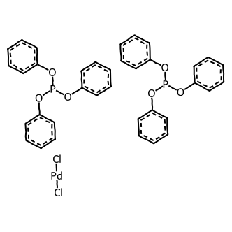 [Cl][Pd][Cl].c1ccc(OP(Oc2ccccc2)Oc2ccccc2)cc1.c1ccc(OP(Oc2ccccc2)Oc2ccccc2)cc1